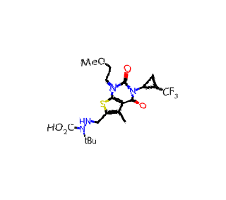 COCCn1c(=O)n(C2CC2C(F)(F)F)c(=O)c2c(C)c(CNN(C(=O)O)C(C)(C)C)sc21